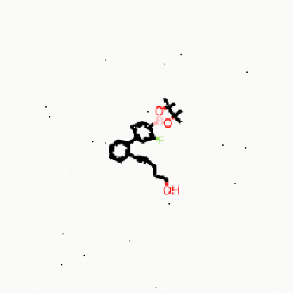 CC1(C)OB(c2ccc(-c3ccccc3C#CCCCO)cc2F)OC1(C)C